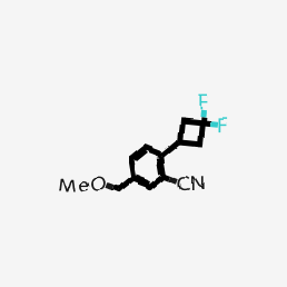 COCc1ccc(C2CC(F)(F)C2)c(C#N)c1